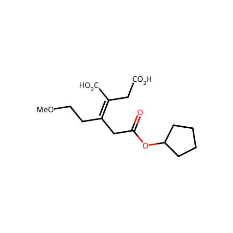 COCCC(CC(=O)OC1CCCC1)=C(CC(=O)O)C(=O)O